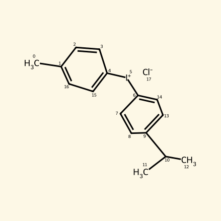 Cc1ccc([I+]c2ccc(C(C)C)cc2)cc1.[Cl-]